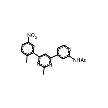 CC(=O)Nc1cc(-c2cc(-c3cc([N+](=O)[O-])ccc3C)nc(C)n2)ccn1